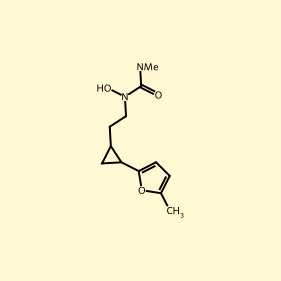 CNC(=O)N(O)CCC1CC1c1ccc(C)o1